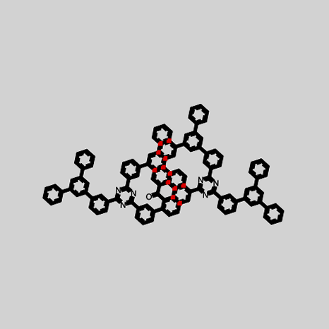 O=C(c1ccccc1-c1cccc(-c2nc(-c3cccc(-c4cc(-c5ccccc5)cc(-c5ccccc5)c4)c3)nc(-c3cccc(-c4cc(-c5ccccc5)cc(-c5ccccc5)c4)c3)n2)c1)c1ccccc1-c1cccc(-c2nc(-c3cccc(-c4cc(-c5ccccc5)cc(-c5ccccc5)c4)c3)nc(-c3cccc(-c4cc(-c5ccccc5)cc(-c5ccccc5)c4)c3)n2)c1